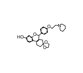 Oc1ccc2c(c1)OC(c1ccc(OCCN3CCCCC3)cc1)C1=C2CCC2(C1)OCCO2